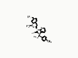 CSC[C@H](Cc1ccc(C)cc1)n1c(=N)n(C(C)c2ccc(C)cc2)c2cccnc21